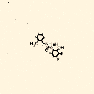 Cc1ccccc1CNC(=O)N(S)c1ccc(F)c(F)c1O